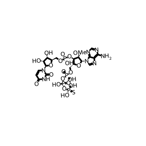 CO[C@@H]1[C@H](OP(=O)(O)OC[C@H]2O[C@@H](n3ccc(=O)[nH]c3=O)[C@H](O)[C@@H]2O)[C@@H](COP(=O)(O)OP(=O)(O)OP(O)(O)=S)O[C@H]1n1cnc2c(N)ncnc21